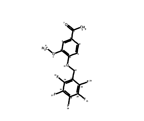 COc1cc(C(C)=O)ccc1OCc1c(F)c(F)c(F)c(F)c1F